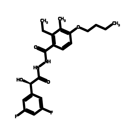 CCCCOc1ccc(C(=O)NNC(=O)[C@H](O)c2cc(F)cc(F)c2)c(CC)c1C